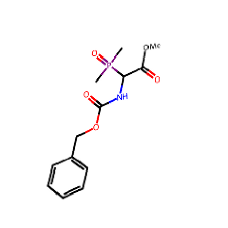 COC(=O)C(NC(=O)OCc1ccccc1)P(C)(C)=O